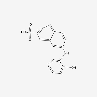 O=S(=O)(O)c1ccc2ccc(Nc3ccccc3O)cc2c1